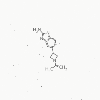 C=C(C)N1CC(c2ccc3nc(N)nn3c2)C1